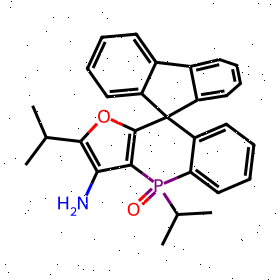 CC(C)c1oc2c(c1N)P(=O)(C(C)C)c1ccccc1C21c2ccccc2-c2ccccc21